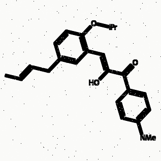 CC=CCc1ccc(OC(C)C)c(C=C(O)C(=O)c2ccc(NC)cc2)c1